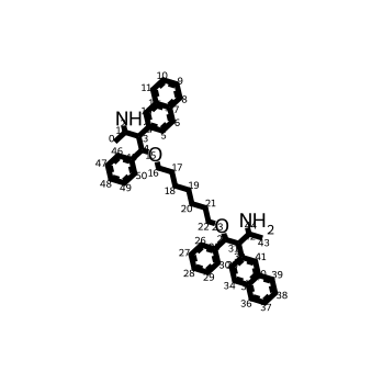 CC(N)C(c1ccc2ccccc2c1)C(OCCCCCCCOC(c1ccccc1)C(c1ccc2ccccc2c1)C(C)N)c1ccccc1